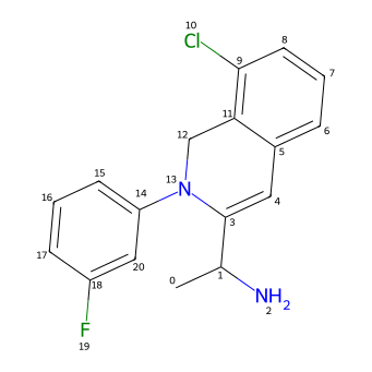 CC(N)C1=Cc2cccc(Cl)c2CN1c1cccc(F)c1